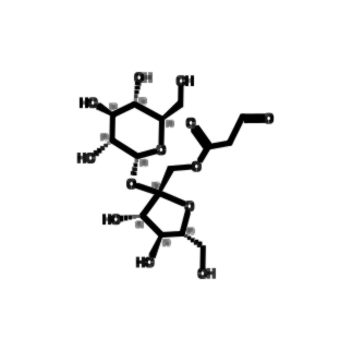 O=CCC(=O)OC[C@@]1(O[C@H]2O[C@H](CO)[C@@H](O)[C@H](O)[C@H]2O)O[C@H](CO)[C@@H](O)[C@@H]1O